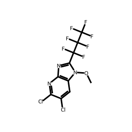 COn1c(C(F)(F)C(F)(F)C(F)(F)F)nc2nc(Cl)c(Cl)cc21